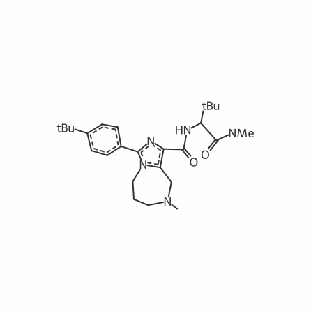 CNC(=O)C(NC(=O)c1nc(-c2ccc(C(C)(C)C)cc2)n2c1CN(C)CCC2)C(C)(C)C